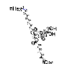 CCCCCC/C=C\CCCCCCCC(=O)O[C@H](COC(=O)CCCCCCCCCCCCCCCCC)COP(=O)(O)OC[C@@H](O)CO